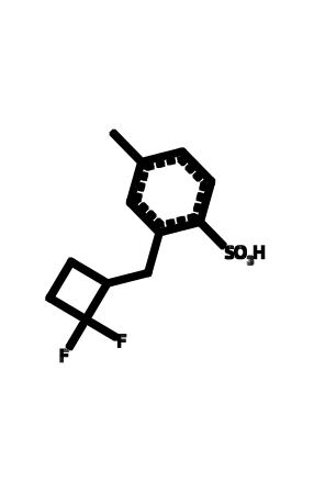 Cc1ccc(S(=O)(=O)O)c(CC2CCC2(F)F)c1